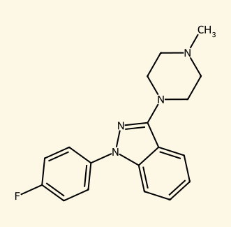 CN1CCN(c2nn(-c3ccc(F)cc3)c3ccccc23)CC1